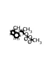 CC(=O)OC(=O)OC/C(C)=C\[C@@H]1CCCC2CCC(C)=C21